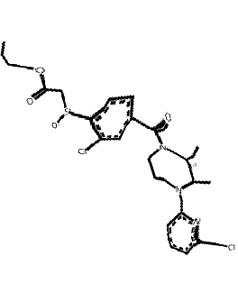 CCOC(=O)C[S+]([O-])c1ccc(C(=O)N2CCN(c3cccc(Cl)n3)C(C)[C@@H]2C)cc1Cl